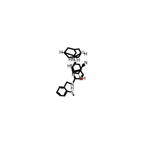 CSc1ccccc1CNc1ncc(C#N)c(NC[C@@]23CC4C[C@H](C2)[C@@H](N[C@H]2CC[C@@H](O)CC2)[C@@H](C4)C3)n1